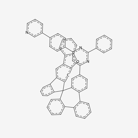 c1ccc(-c2nc(-c3ccc(-c4cccnc4)cc3)cc(-c3ccc4c(c3)C3(c5ccccc5-c5ccccc5-4)c4ccccc4-c4cc5c(cc43)oc3ccccc35)n2)cc1